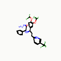 NC(=O)C(NC(CCc1ccc(C(F)(F)F)cn1)c1ccc(OC(F)F)c(OC(F)F)c1)c1ccccc1